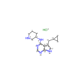 Cl.c1nc(NC2CCCNC2)c2c(CC3CC3)c[nH]c2n1